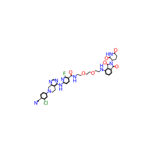 N#Cc1ccc(N2CCc3c(ncnc3Nc3ccc(C(=O)NCCOCCOCCNc4cccc5c4C(=O)N(C4CCC(=O)NC4=O)C5=O)c(F)n3)C2)cc1Cl